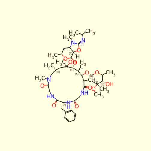 COC1(C)C[C@H](OC2C(C)C(=O)NCC(=O)N[C@H](Cc3ccccc3)C(=O)NCC(=O)N(C)C[C@H](C)C[C@@](C)(O)[C@H](OC3OC(C)CC4[C@H]3O/C(=N/C(C)C)N4C)[C@H]2C)OC(C)[C@@H]1O